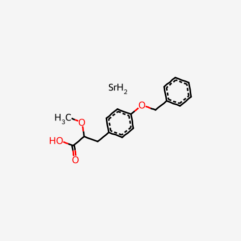 COC(Cc1ccc(OCc2ccccc2)cc1)C(=O)O.[SrH2]